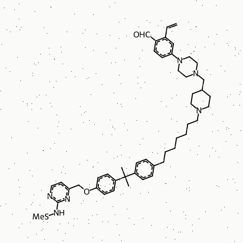 C=Cc1cc(N2CCN(CC3CCN(CCCCCCCc4ccc(C(C)(C)c5ccc(OCc6ccnc(NSC)n6)cc5)cc4)CC3)CC2)ccc1C=O